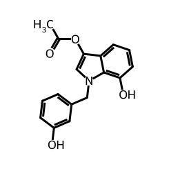 CC(=O)Oc1cn(Cc2cccc(O)c2)c2c(O)cccc12